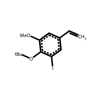 C=Cc1cc(I)c(OC(C)(C)C)c(OC)c1